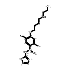 NCCNCCCCNc1cc(F)c([S+]([O-])Nc2ncns2)cc1Cl